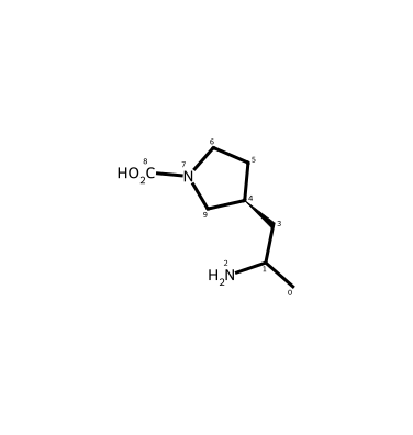 CC(N)C[C@@H]1CCN(C(=O)O)C1